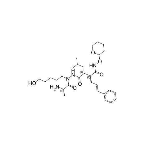 CC(C)C[C@@H](C(=O)NN(CCCCCO)C(=O)[C@@H](C)N)[C@H](CC=Cc1ccccc1)C(=O)NOC1CCCCO1